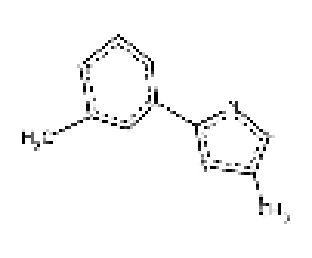 Cc1cccc(-c2n[c]c(C)s2)c1